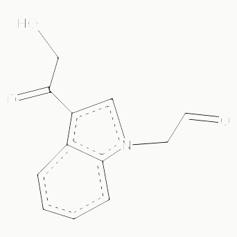 O=CCn1cc(C(=O)CO)c2ccccc21